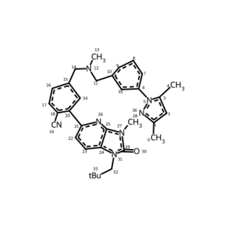 Cc1cc(C)n(-c2cccc(CN(C)Cc3ccc(C#N)c(-c4ccc5c(n4)n(C)c(=O)n5CC(C)(C)C)c3)c2)n1